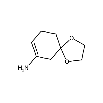 NC1=CCCC2(C1)OCCO2